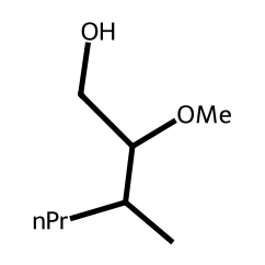 CCCC(C)C(CO)OC